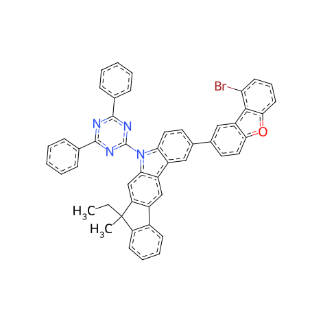 CCC1(C)c2ccccc2-c2cc3c4cc(-c5ccc6oc7cccc(Br)c7c6c5)ccc4n(-c4nc(-c5ccccc5)nc(-c5ccccc5)n4)c3cc21